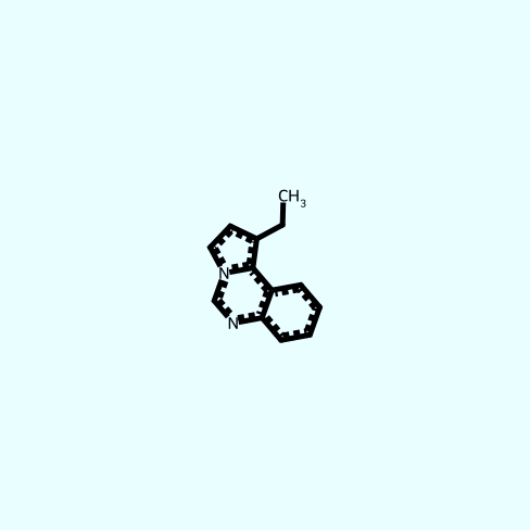 CCc1ccn2cnc3ccccc3c12